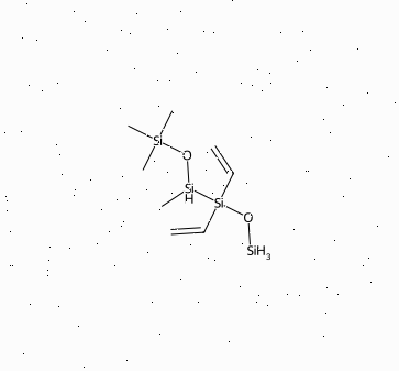 C=C[Si](C=C)(O[SiH3])[SiH](C)O[Si](C)(C)C